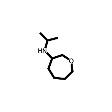 CC(C)NC1CCCCOC1